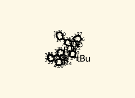 CC(C)(C)C1=CC2=C3B(C4C=C(C5CCCCC5)C=C5C4N(C3C1)C(C)(C)C51CCCCC1)C1CCC(C3=CC=CCC3)C3C1N2C(C)(C)C31CCCCC1